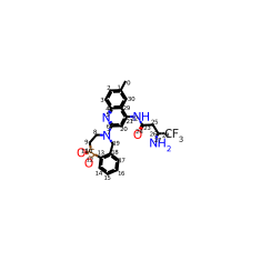 Cc1ccc2nc(N3CCS(=O)(=O)c4ccccc4C3)cc(NC(=O)CC(N)C(F)(F)F)c2c1